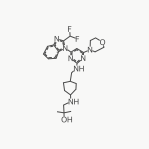 CC(C)(O)CNC1CCC(CNc2nc(N3CCOCC3)cc(-n3c(C(F)F)nc4ccccc43)n2)CC1